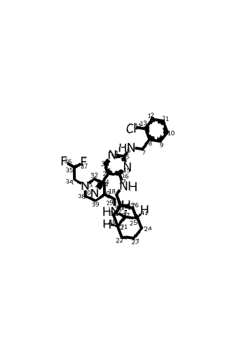 N#Cc1cnc(NCc2ccccc2Cl)nc1NCC1C[C@H]2CCC[C@@H](C1)[C@@H]2NCC1CCN(CC(F)F)CC1